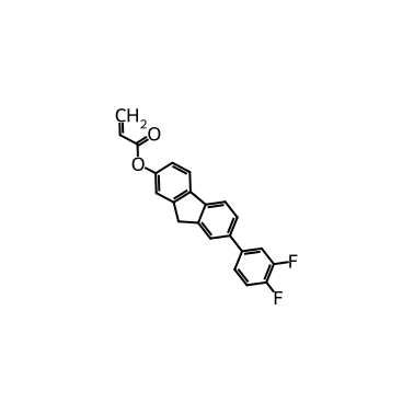 C=CC(=O)Oc1ccc2c(c1)Cc1cc(-c3ccc(F)c(F)c3)ccc1-2